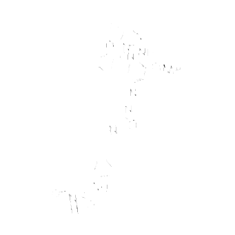 COc1cc(N2CCN(C(=O)CN3CCC(c4ccc(NC5CCC(=O)NC5=O)cc4)CC3)CC2)ccc1Nc1ncc(Cl)c(Nc2ccccc2C#N)n1